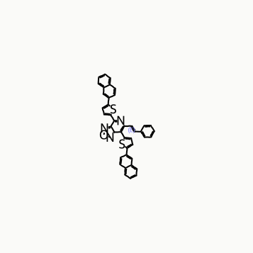 C(=C\c1nc(-c2ccc(-c3ccc4ccccc4c3)s2)c2nonc2c1-c1ccc(-c2ccc3ccccc3c2)s1)/c1ccccc1